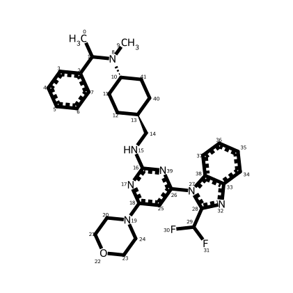 CC(c1ccccc1)N(C)[C@H]1CC[C@H](CNc2nc(N3CCOCC3)cc(-n3c(C(F)F)nc4ccccc43)n2)CC1